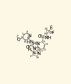 COc1ccnc(NC(=O)N2C3=C(C=CC(C(=O)NC4CC4(F)F)N3)N3CC[C@H]2C3)c1